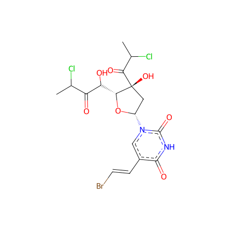 CC(Cl)C(=O)C(O)[C@H]1O[C@@H](n2cc(C=CBr)c(=O)[nH]c2=O)C[C@@]1(O)C(=O)C(C)Cl